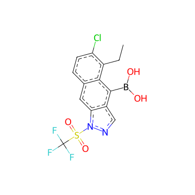 CCc1c(Cl)ccc2cc3c(cnn3S(=O)(=O)C(F)(F)F)c(B(O)O)c12